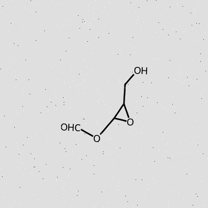 O=COC1OC1CO